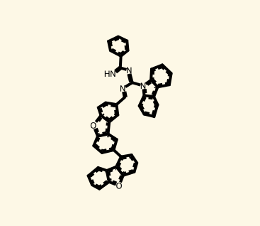 N=C(/N=C(\N=C\c1ccc2oc3ccc(-c4cccc5oc6ccccc6c45)cc3c2c1)n1c2ccccc2c2ccccc21)c1ccccc1